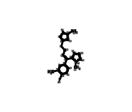 Cc1cc(C(=NOCc2csc(N)n2)c2nnnn2C)ccc1F